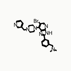 CN(C)Cc1cccc(-c2nc3c(N4CCN(Cc5cccnc5)CC4)c(Br)cnc3[nH]2)c1